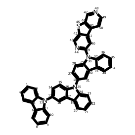 c1ccc2c(c1)c1ccccc1n2-c1ccc2c(c1)c1ccccc1n2-c1ccc2c(c1)c1ccccc1n2-c1cc2c(cn1)sc1cnccc12